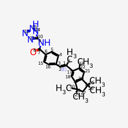 C/C(=C\c1ccc(C(=O)Nc2nnn[nH]2)cc1)c1cc2c(cc1C)C(C)(C)CC2(C)C